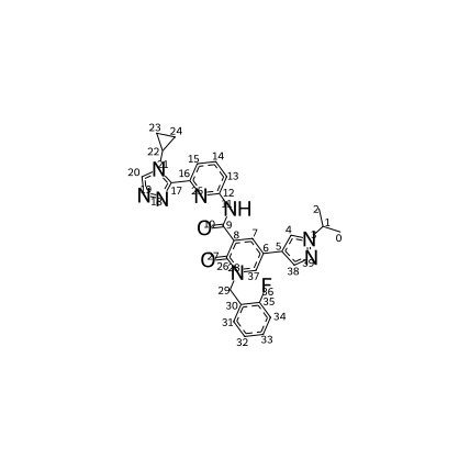 CC(C)n1cc(-c2cc(C(=O)Nc3cccc(-c4nncn4C4CC4)n3)c(=O)n(Cc3ccccc3F)c2)cn1